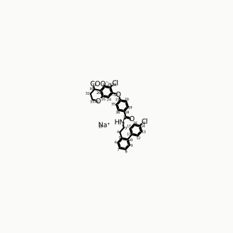 O=C(NCCc1ccccc1-c1ccc(Cl)cc1)c1ccc(Oc2cc3c(cc2Cl)C(C(=O)[O-])CCO3)cc1.[Na+]